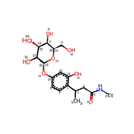 CCNC(=O)CC(C)c1ccc(O[C@@H]2O[C@H](CO)C(O)[C@H](O)C2O)cc1O